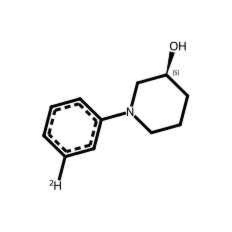 [2H]c1cccc(N2CCC[C@H](O)C2)c1